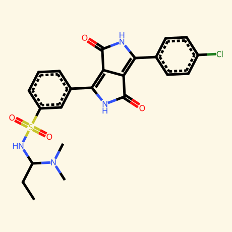 CCC(NS(=O)(=O)c1cccc(C2=C3C(=O)NC(c4ccc(Cl)cc4)=C3C(=O)N2)c1)N(C)C